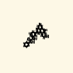 O=C(Nc1ccccc1)Nc1cc(-c2nc(N3CCNCC3)c3c(C4CC4)cncc3n2)ccn1